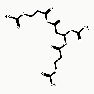 CC(=O)SCCC(=O)OC(=O)CC(OC(=O)CCSC(C)=O)SC(C)=O